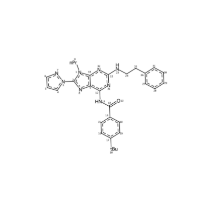 CCCn1c(-n2cccn2)nc2c(NC(=O)c3ccc(C(C)(C)C)cc3)nc(NCCc3ccccc3)nc21